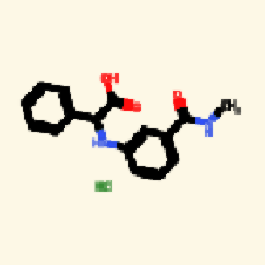 CNC(=O)c1cccc(NC(C(=O)O)c2ccccc2)c1.Cl